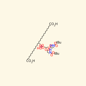 C[C@H](CC(=O)OCC(COP(=O)(O)OC[C@H](CCCCCCCCCCCCCCC(=O)O)CCCCCCCCCCCCCC(=O)O)OC(=O)C[C@@H](C)NC(=O)OC(C)(C)C)NC(=O)OC(C)(C)C